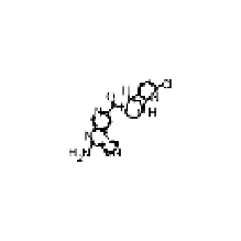 Nc1nc2cnc(C(=O)N3CC[C@H]4C[C@@H]3c3ccc(Cl)nc34)cc2n2cncc12